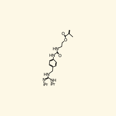 C=C(C)C(=O)OCCNC(=O)Nc1ccc(CNC(=NC(C)C)NC(C)C)cc1